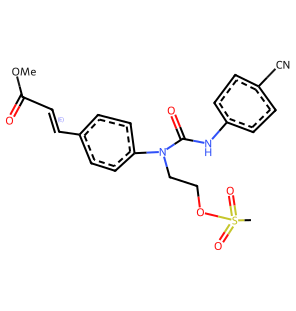 COC(=O)/C=C/c1ccc(N(CCOS(C)(=O)=O)C(=O)Nc2ccc(C#N)cc2)cc1